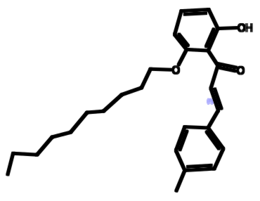 CCCCCCCCCCOc1cccc(O)c1C(=O)/C=C/c1ccc(C)cc1